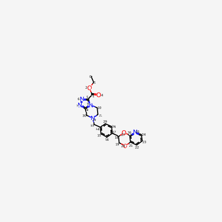 CCOC(=O)c1nnc2n1CCN(Cc1ccc(C3COc4cccnc4O3)cc1)C2